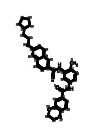 Cc1ncc(NC(=O)c2ccc3c(c2)OCCO3)cc1NC(=O)c1ccc2nc(OCCC3CCCC3)ccc2c1